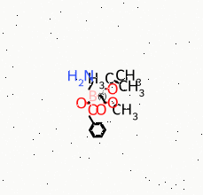 COC(=O)[C@@H](COC(C)(C)C)B(CCN)C(=O)OCc1ccccc1